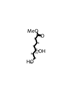 COC(=O)CCC[C@H](O)CCO